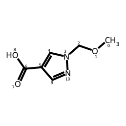 COCn1cc(C(=O)O)cn1